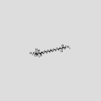 CSC(=O)NCCOCCOCCOCCOCC(=O)NCC(C)(C)C